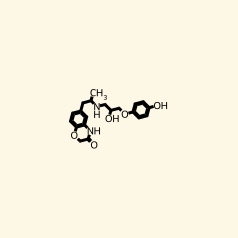 CC(Cc1ccc2c(c1)NC(=O)CO2)NCC(O)COc1ccc(O)cc1